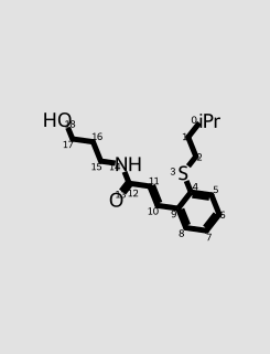 CC(C)CCSc1ccccc1/C=C/C(=O)NCCCO